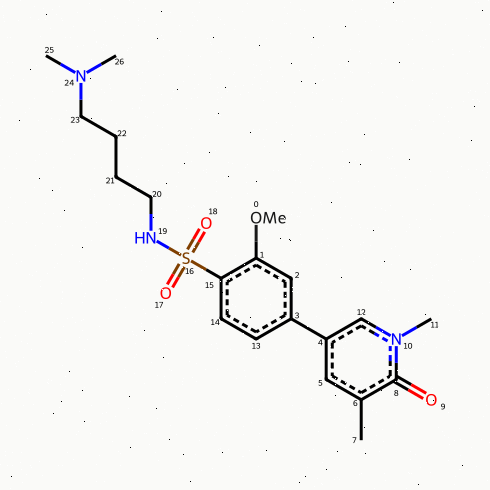 COc1cc(-c2cc(C)c(=O)n(C)c2)ccc1S(=O)(=O)NCCCCN(C)C